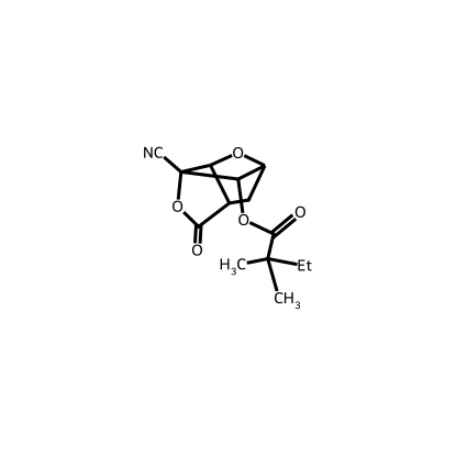 CCC(C)(C)C(=O)OC1C2CC3C(=O)OC1(C#N)C3O2